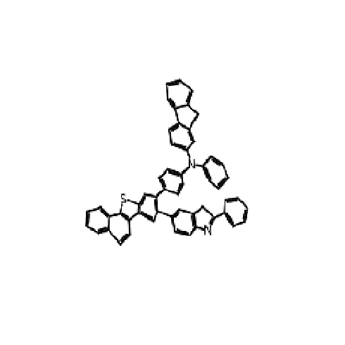 c1ccc(C2=Nc3ccc(-c4cc5c(cc4-c4ccc(N(c6ccccc6)c6ccc7c(c6)Cc6ccccc6-7)cc4)sc4c6ccccc6ccc54)cc3C2)cc1